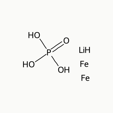 O=P(O)(O)O.[Fe].[Fe].[LiH]